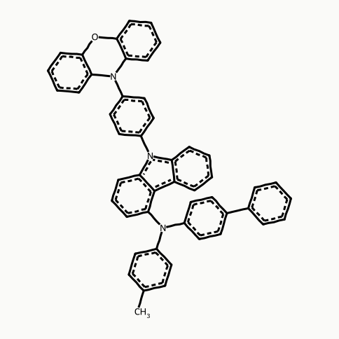 Cc1ccc(N(c2ccc(-c3ccccc3)cc2)c2cccc3c2c2ccccc2n3-c2ccc(N3c4ccccc4Oc4ccccc43)cc2)cc1